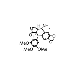 COc1cc([C@@H]2c3cc4c(cc3[C@@H](N)[C@H]3COC(=O)[C@H]23)OCO4)cc(OC)c1OC